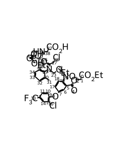 CCOC(=O)COC(=O)c1cc(Oc2ccc(C(F)(F)F)cc2Cl)ccc1[N+](=O)[O-].CCOCN(C(=O)CCl)c1c(C)cccc1CC.O=C(O)CNCP(=O)(O)O